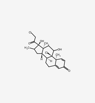 CC1C[C@H]2[C@@H]3CCC4=CC(=O)C=C[C@]4(C)[C@@]3(Cl)C(O)C[C@]2(C)[C@@]1(O)C(=O)CCl